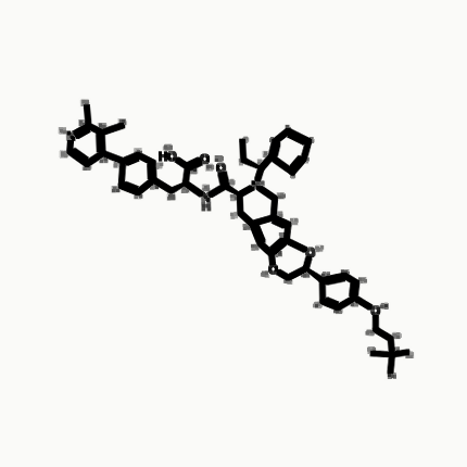 CC[C@@H](c1ccccc1)N1Cc2cc3c(cc2C[C@H]1C(=O)N[C@@H](Cc1ccc(-c2ccnc(C)c2C)cc1)C(=O)O)OC[C@H](c1ccc(OCCC(C)(C)C)cc1)O3